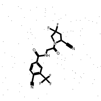 N#Cc1ccc(C(=O)NCC(=O)N2CC(F)(F)CC2C#N)cc1C(F)(F)F